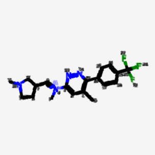 Cc1cc(/[N+](C)=C/C2CCN(C)C2)nnc1-c1ccc(C(F)(F)F)cc1